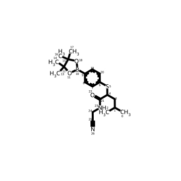 CC(C)CC(Sc1ccc(B2OC(C)(C)C(C)(C)O2)cc1)C(=O)NCC#N